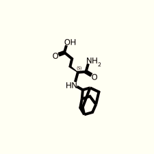 NC(=O)[C@H](CCC(=O)O)NC1C2CC3CC(C2)CC1C3